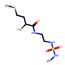 CCSCCC(S)C(=O)NCCNS(=O)(=O)NC(C)C